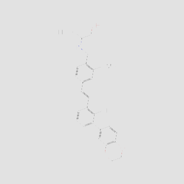 COc1cc(/C=C/c2cccc(-c3ccc4c(c3)OCCO4)c2C)ccc1CNC(CO)C(=O)O